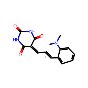 CN(C)c1ccccc1/C=C/C=C1C(=O)NC(=O)NC1=O